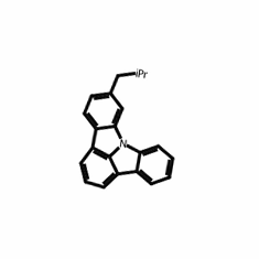 CC(C)Cc1ccc2c3cccc4c5ccccc5n(c2c1)c43